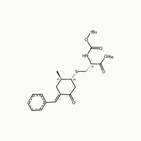 COC(=O)[C@H](CS[C@@H]1CC(=O)/C(=C/c2ccccc2)C[C@H]1C)NC(=O)OC(C)(C)C